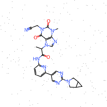 CC(C(=O)Nc1cccc(-c2cnc(N3CC4CC4C3)nc2)n1)n1cnc2c1c(=O)n(CC#N)c(=O)n2C